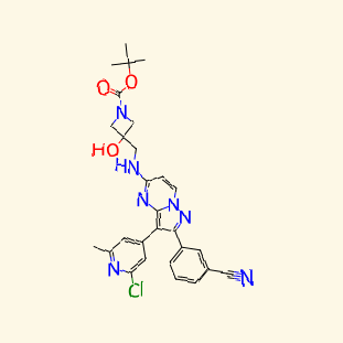 Cc1cc(-c2c(-c3cccc(C#N)c3)nn3ccc(NCC4(O)CN(C(=O)OC(C)(C)C)C4)nc23)cc(Cl)n1